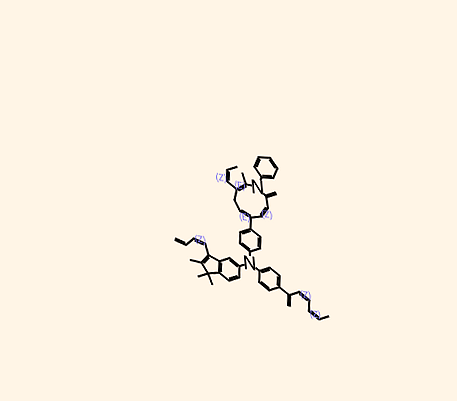 C=C/C=C\C1=C(C)C(C)(C)c2ccc(N(c3ccc(C(=C)/C=C\C=C/C)cc3)c3ccc(C4=C/CC(/C=C\C)=C(/C)N(c5ccccc5)C(=C)/C=C\4)cc3)cc21